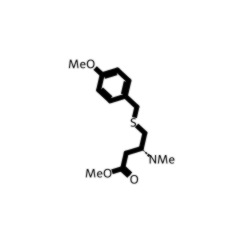 CN[C@@H](CSCc1ccc(OC)cc1)CC(=O)OC